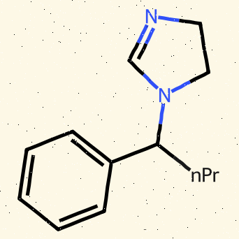 CCCC(c1ccccc1)N1C=NCC1